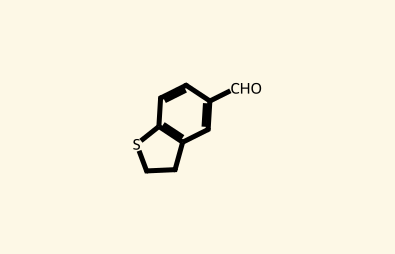 O=Cc1ccc2c(c1)CCS2